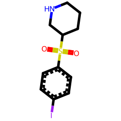 O=S(=O)(c1ccc(I)cc1)C1CCCNC1